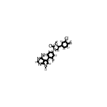 CN1C(=O)N(c2ccc(-c3cn(C)c4ncnc(N)c34)c(F)c2)CC1c1ccc(F)c(Cl)c1